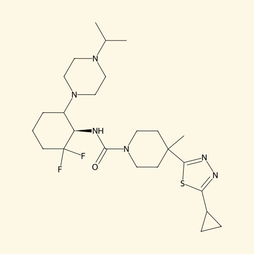 CC(C)N1CCN(C2CCCC(F)(F)[C@@H]2NC(=O)N2CCC(C)(c3nnc(C4CC4)s3)CC2)CC1